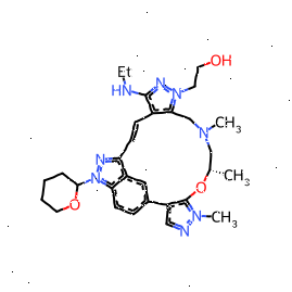 CCNc1nn(CCO)c2c1/C=C/c1nn(C3CCCCO3)c3ccc(cc13)-c1cnn(C)c1O[C@@H](C)CN(C)C2